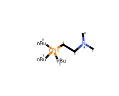 CCCC[PH](CCCC)(CCCC)CCN(C)C